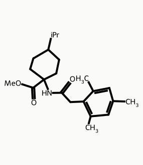 COC(=O)C1(NC(=O)Cc2c(C)cc(C)cc2C)CCC(C(C)C)CC1